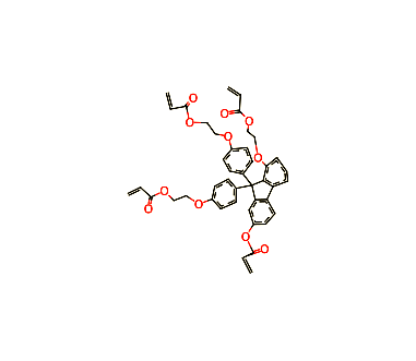 C=CC(=O)OCCOc1ccc(C2(c3ccc(OCCOC(=O)C=C)cc3)c3cc(OC(=O)C=C)ccc3-c3cccc(OCCOC(=O)C=C)c32)cc1